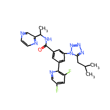 CC(C)Cc1nnnn1-c1cc(C(=O)NC(C)c2cnccn2)cc(-c2ncc(F)cc2F)c1